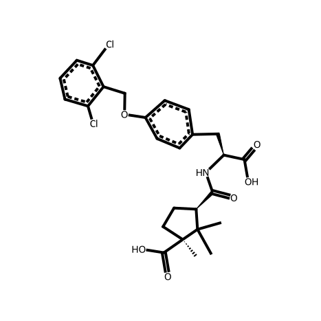 CC1(C)[C@H](C(=O)N[C@@H](Cc2ccc(OCc3c(Cl)cccc3Cl)cc2)C(=O)O)CC[C@]1(C)C(=O)O